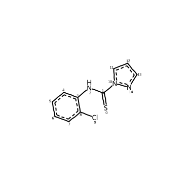 S=C(Nc1ccccc1Cl)n1cccn1